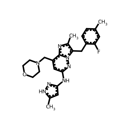 Cc1ccc(Cc2c(C)nc3c(CN4CCOCC4)cc(Nc4cc(C)[nH]n4)nn23)c(F)c1